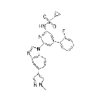 Cn1cc(-c2ccc3c(c2)ncn3-c2cc(-c3ccccc3F)cc(NS(=O)(=O)C3CC3)n2)cn1